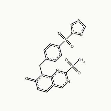 CS(=O)(=O)c1ncc2ccc(=O)n(Cc3ccc(S(=O)(=O)n4cncn4)cc3)c2n1